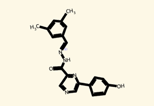 Cc1cc(C)cc(/C=N/NC(=O)c2cncc(-c3ccc(O)cc3)n2)c1